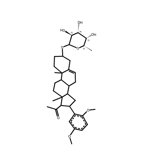 COc1ccc(OC)c(C2CC3C4CC=C5CC(OC6O[C@@H](C)[C@@H](O)[C@@H](O)[C@@H]6O)CCC5(C)C4CCC3(C)C2C(C)=O)c1